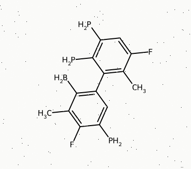 Bc1c(-c2c(C)c(F)cc(P)c2P)cc(P)c(F)c1C